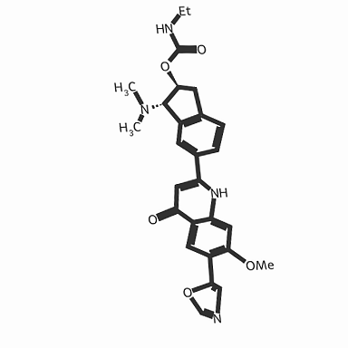 CCNC(=O)O[C@H]1Cc2ccc(-c3cc(=O)c4cc(-c5cnco5)c(OC)cc4[nH]3)cc2[C@@H]1N(C)C